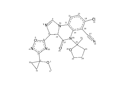 COC1(c2noc(C3N=CN4c5ccc(Cl)c(C#N)c5N(C5(C)CCCO5)C(=O)C34)n2)CC1